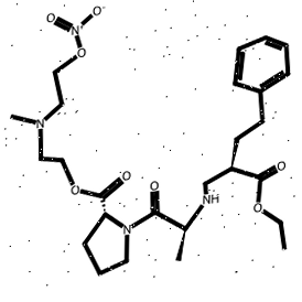 CCOC(=O)[C@H](CCc1ccccc1)CN[C@@H](C)C(=O)N1CCC[C@@H]1C(=O)OCCN(C)CCO[N+](=O)[O-]